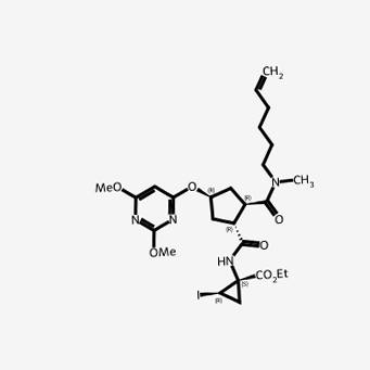 C=CCCCCN(C)C(=O)[C@@H]1C[C@H](Oc2cc(OC)nc(OC)n2)C[C@H]1C(=O)N[C@]1(C(=O)OCC)C[C@H]1I